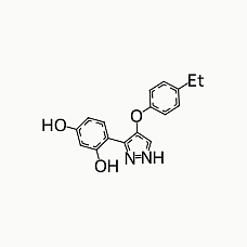 CCc1ccc(Oc2c[nH]nc2-c2ccc(O)cc2O)cc1